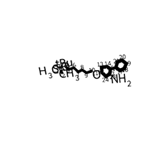 CC(C)(C)[Si](C)(C)OCCCCCCOc1ccc(-c2ccccc2)c(N)c1